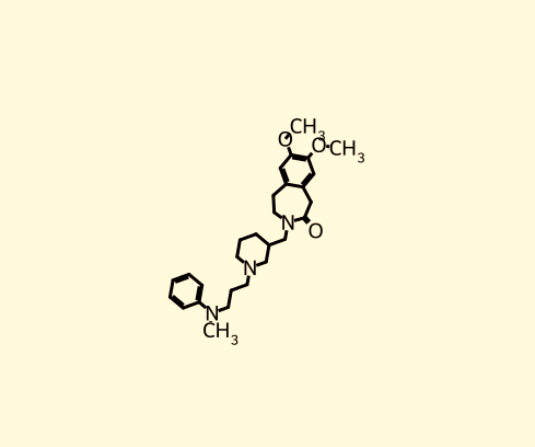 COc1cc2c(cc1OC)CC(=O)N(CC1CCCN(CCCN(C)c3ccccc3)C1)CC2